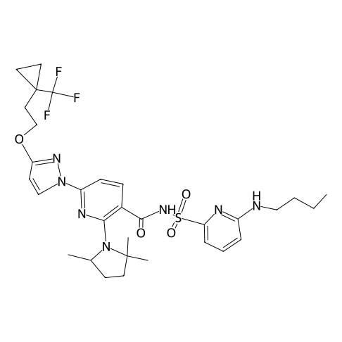 CCCCNc1cccc(S(=O)(=O)NC(=O)c2ccc(-n3ccc(OCCC4(C(F)(F)F)CC4)n3)nc2N2C(C)CCC2(C)C)n1